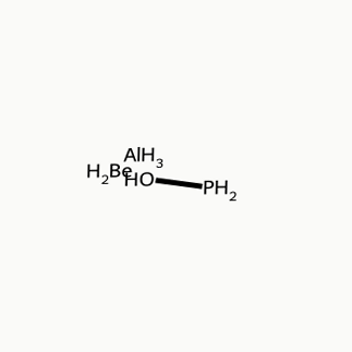 OP.[AlH3].[BeH2]